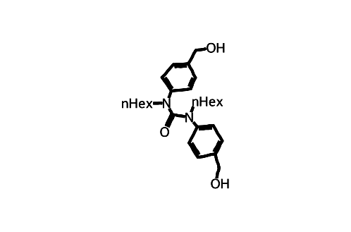 CCCCCCN(C(=O)N(CCCCCC)c1ccc(CO)cc1)c1ccc(CO)cc1